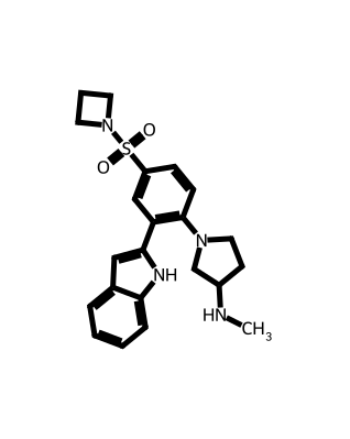 CNC1CCN(c2ccc(S(=O)(=O)N3CCC3)cc2-c2cc3ccccc3[nH]2)C1